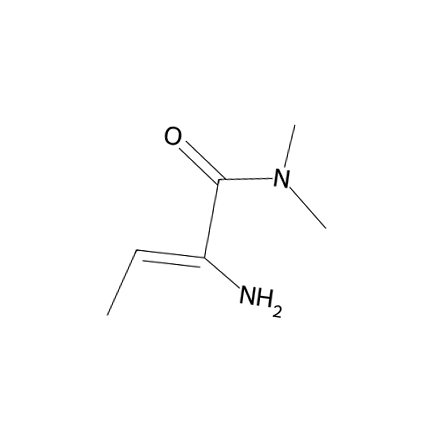 C/C=C(\N)C(=O)N(C)C